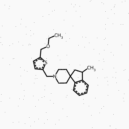 CCOCc1ccc(CN2CCC3(CC2)CC(C)c2ccccc23)s1